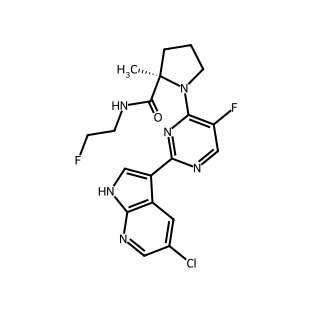 C[C@]1(C(=O)NCCF)CCCN1c1nc(-c2c[nH]c3ncc(Cl)cc23)ncc1F